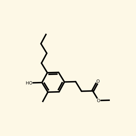 CCCCc1cc(CCC(=O)OC)cc(C)c1O